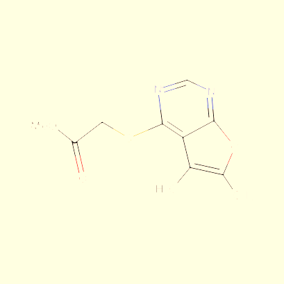 COC(=O)CSc1ncnc2oc(C)c(C)c12